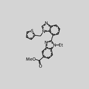 CCn1c(-c2cccc3ncn(Cc4cccs4)c23)nc2cc(C(=O)OC)ccc21